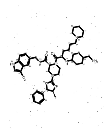 C[C@@H]1N=C(N2CCN(C(=O)C(CCCCN3CCCCC3)NC3CCC(CN)CC3)[C@H](C(=O)NCc3ccc4[nH]cc(Cl)c4c3)C2)O[C@H]1c1ccccc1